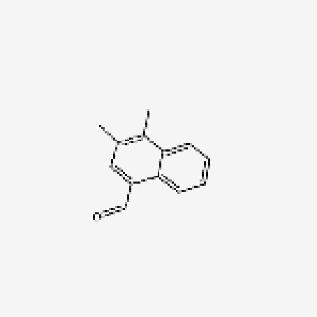 Cc1cc(C=O)c2ccccc2c1C